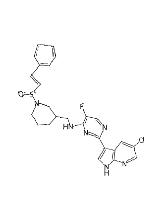 [O-][S+](/C=C/c1ccccc1)N1CCCC(CNc2nc(-c3c[nH]c4ncc(Cl)cc34)ncc2F)C1